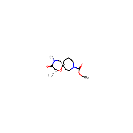 CCN1C[C@]2(CCCN(C(=O)OC(C)(C)C)CC2)O[C@H](C)C1=O